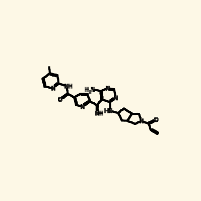 C=CC(=O)N1CC2CC(Nc3ncnc(N)c3C(=N)c3ccc(C(=O)Nc4cc(C)ccn4)cn3)CC2C1